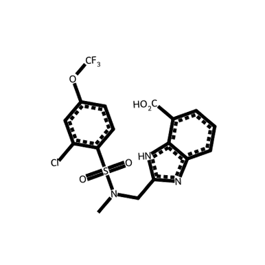 CN(Cc1nc2cccc(C(=O)O)c2[nH]1)S(=O)(=O)c1ccc(OC(F)(F)F)cc1Cl